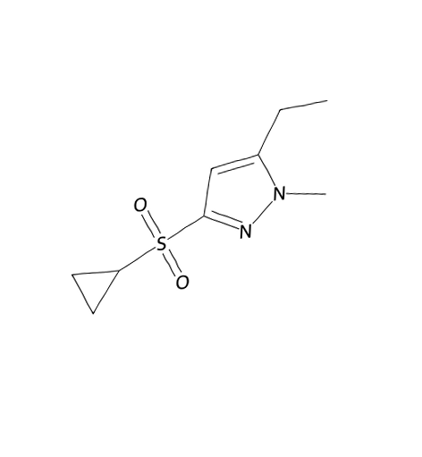 CCc1cc(S(=O)(=O)C2CC2)nn1C